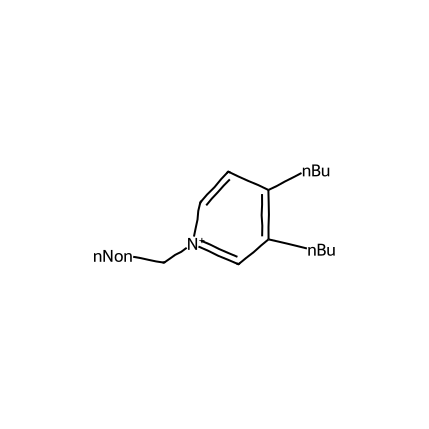 CCCCCCCCCC[n+]1ccc(CCCC)c(CCCC)c1